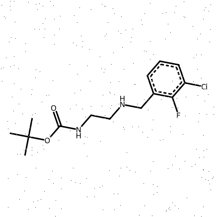 CC(C)(C)OC(=O)NCCNCc1cccc(Cl)c1F